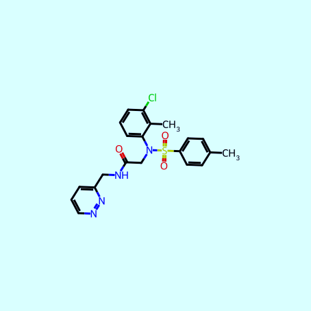 Cc1ccc(S(=O)(=O)N(CC(=O)NCc2cccnn2)c2cccc(Cl)c2C)cc1